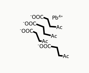 CC(=O)CCC(=O)[O-].CC(=O)CCC(=O)[O-].CC(=O)CCC(=O)[O-].CC(=O)CCC(=O)[O-].[Pb+4]